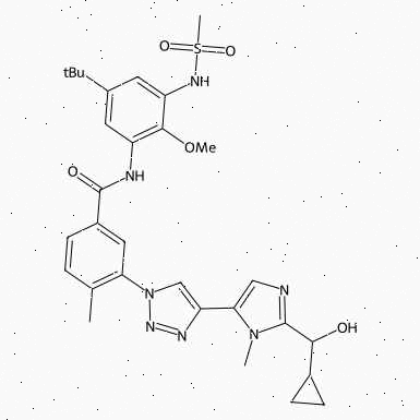 COc1c(NC(=O)c2ccc(C)c(-n3cc(-c4cnc(C(O)C5CC5)n4C)nn3)c2)cc(C(C)(C)C)cc1NS(C)(=O)=O